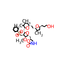 C=C1C[C@H](CCCO)O[C@H]1CC[C@H]1C[C@@H](C)C(=C)[C@@H](C[C@@H]2O[C@H](C[C@H]3CNC(=O)O3)[C@H](OC)[C@H]2CS(=O)(=O)c2ccccc2)O1